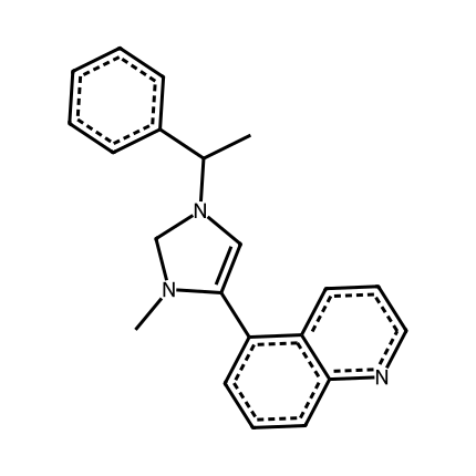 CC(c1ccccc1)N1C=C(c2cccc3ncccc23)N(C)C1